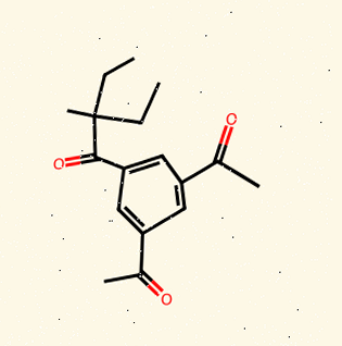 CCC(C)(CC)C(=O)c1cc(C(C)=O)cc(C(C)=O)c1